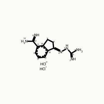 Cl.Cl.N=C(N)NN=C1CCc2c(C(=N)N)cccc21